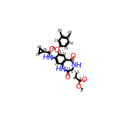 COC(=O)CC[C@H]1NC(=O)c2cc(Oc3ccc(C)c(C)c3)c(NC(=O)C3CC3)cc2NC1=O